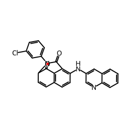 O=C1c2c3ccc(Nc4cnc5ccccc5c4)c2C(=O)N(c2cccc(Cl)c2)C1C=C3